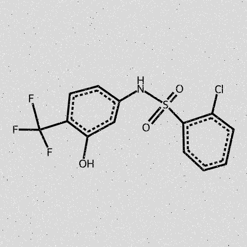 O=S(=O)(Nc1ccc(C(F)(F)F)c(O)c1)c1ccccc1Cl